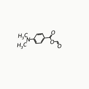 CN(C)c1ccc(C(=O)OC=O)cc1